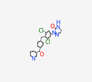 O=C(c1ccc(Cc2c(Cl)cc(N3N=CCNC3=O)cc2Cl)cc1)c1cccnc1